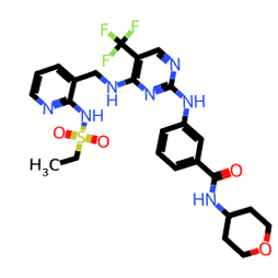 CCS(=O)(=O)Nc1ncccc1CNc1nc(Nc2cccc(C(=O)NC3CCOCC3)c2)ncc1C(F)(F)F